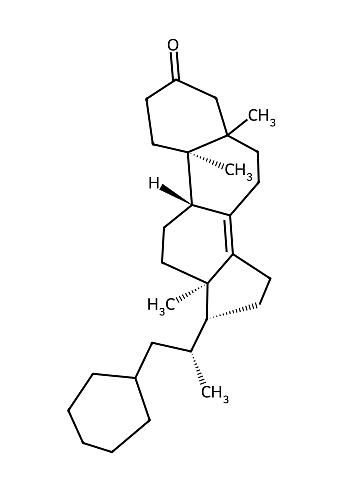 C[C@H](CC1CCCCC1)[C@H]1CCC2=C3CCC4(C)CC(=O)CC[C@]4(C)[C@H]3CC[C@@]21C